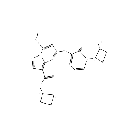 CNc1cc(Nc2cccn([C@@H]3CC[C@@H]3O)c2=O)nc2c(C(=O)N[C@@H]3CC[C@H]3F)cnn12